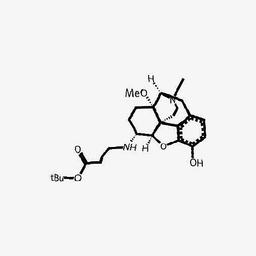 CO[C@@]12CC[C@@H](NCCC(=O)OC(C)(C)C)[C@@H]3Oc4c(O)ccc5c4[C@@]31CCN(C)[C@@H]2C5